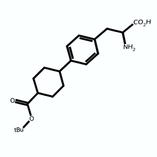 CC(C)(C)OC(=O)C1CCC(c2ccc(CC(N)C(=O)O)cc2)CC1